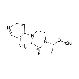 CC[C@@H]1CN(c2ccncc2N)CCN1C(=O)OC(C)(C)C